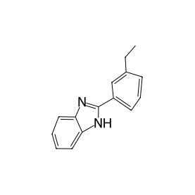 CCc1cccc(-c2nc3ccccc3[nH]2)c1